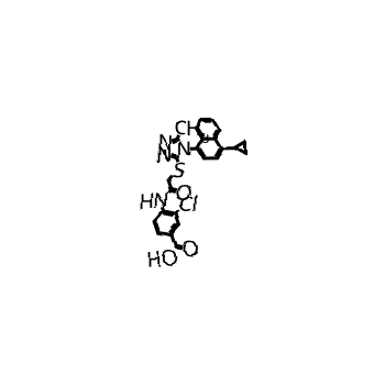 Cc1nnc(SCC(=O)Nc2ccc(C(=O)O)cc2Cl)n1-c1ccc(C2CC2)c2ccccc12